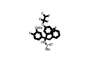 COc1cc(C(Cc2ccccc2)(N[S@+]([O-])C(C)(C)C)c2cc(F)cc(OC(F)(F)C(F)F)c2)ccc1F